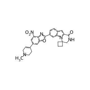 CN1CC=C(c2cc([N+](=O)[O-])c3nc(-c4ccc5cc6n(c5c4)C4(CCC4)CNC6=O)oc3c2)CC1